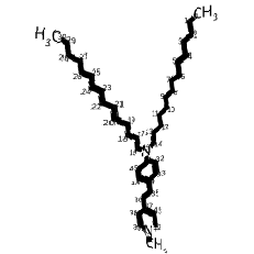 CCCCCCCCCCCCCCCN(CCCCCCCCCCCCCCC)c1ccc(C=Cc2cc[n+](C)cc2)cc1